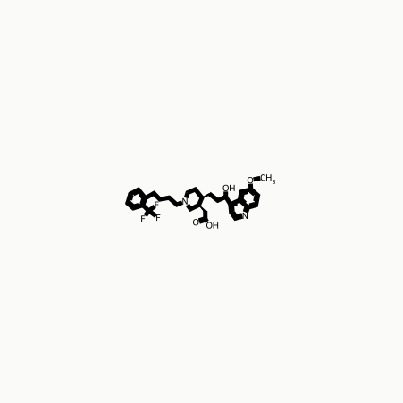 COc1ccc2nccc(C(O)CC[C@@H]3CCN(CCCCc4ccccc4C(F)(F)F)C[C@@H]3CC(=O)O)c2c1